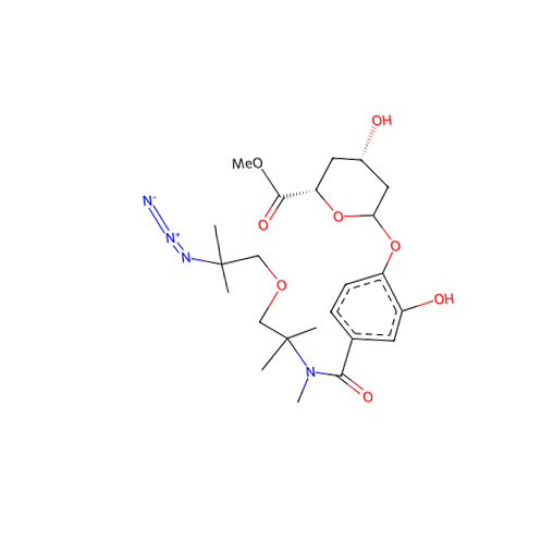 COC(=O)[C@@H]1C[C@H](O)CC(Oc2ccc(C(=O)N(C)C(C)(C)COCC(C)(C)N=[N+]=[N-])cc2O)O1